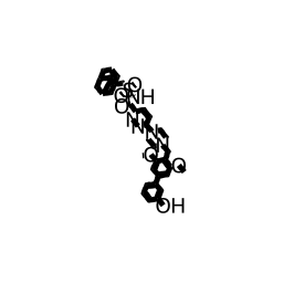 COc1cc(-c2cccc(O)c2)cc(OC)c1CN1CCN(c2ccc(C(=O)NS(=O)(=O)CC34CC5CC(CC(C5)C3)C4)nn2)CC1